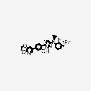 CCC[C@]1(C)CCC[C@H](N(c2cnc(-c3ccc(-c4cnc5c(c4)OCCO5)cc3O)nn2)C2CC2)[C@@H]1F